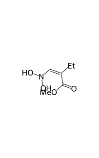 CCC(=CN(O)O)C(=O)OC